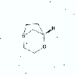 C1CN2CC[C@@H](C2)O1